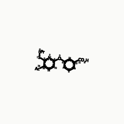 CCCSc1nc(Oc2cccc(C(=O)O)c2)ccc1C(C)=O